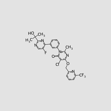 Cc1nc(OCc2cccc(C(F)(F)F)n2)c(Cl)c(=O)n1-c1cccc(-c2nc(C(C)(C)O)ncc2F)c1